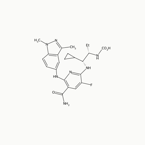 CC[C@H](NC(=O)O)[C@H](Nc1nc(Nc2ccc3c(c2)c(C)nn3C)c(C(N)=O)cc1F)C1CC1